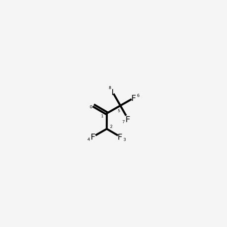 C=C(C(F)F)C(F)(F)I